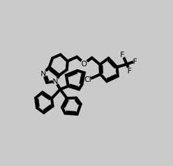 FC(F)(F)c1ccc(Cl)c(COCC2CCc3ncn(C(c4ccccc4)(c4ccccc4)c4ccccc4)c3C2)c1